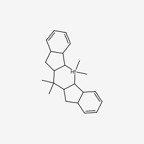 CC1(C)C2CC3C=CC=CC3[CH]2[Hf]([CH3])([CH3])[CH]2C3C=CC=CC3CC21